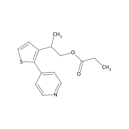 CCC(=O)OCC(C)c1ccsc1-c1ccncc1